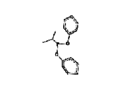 CC(C)P(Oc1ccccc1)Oc1ccccc1